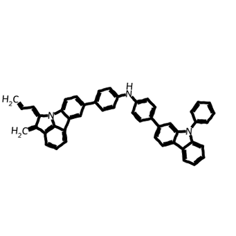 C=C/C=c1\c(=C)c2cccc3c4cc(-c5ccc(Nc6ccc(-c7ccc8c9ccccc9n(-c9ccccc9)c8c7)cc6)cc5)ccc4n1c23